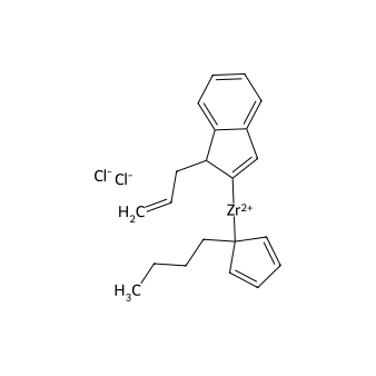 C=CCC1[C]([Zr+2][C]2(CCCC)C=CC=C2)=Cc2ccccc21.[Cl-].[Cl-]